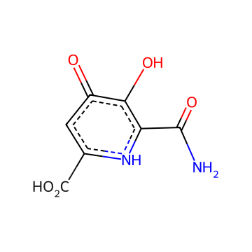 NC(=O)c1[nH]c(C(=O)O)cc(=O)c1O